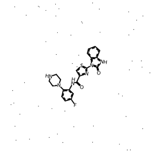 O=C(Nc1cc(F)ccc1N1CCNCC1)c1csc(-n2c(=O)[nH]c3ccccc32)n1